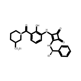 CCOC(=O)C1CCCN(C(=O)c2cccc(Nc3c(N[C@H](CC)c4ccccc4)c(=O)c3=O)c2O)C1